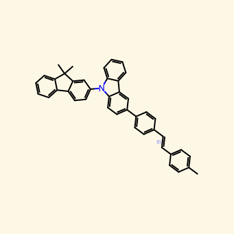 Cc1ccc(/C=C/c2ccc(-c3ccc4c(c3)c3ccccc3n4-c3ccc4c(c3)C(C)(C)c3ccccc3-4)cc2)cc1